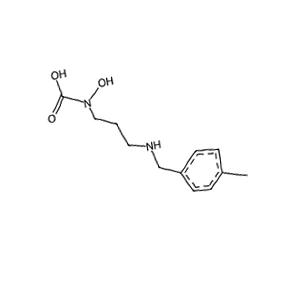 Cc1ccc(CNCCCN(O)C(=O)O)cc1